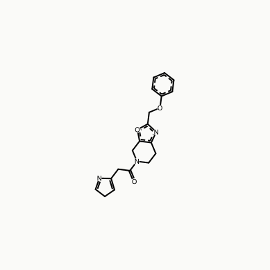 O=C(CC1=CCC=N1)N1CCc2nc(COc3ccccc3)oc2C1